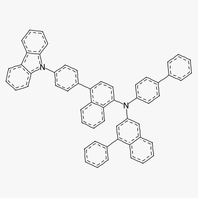 c1ccc(-c2ccc(N(c3cc(-c4ccccc4)c4ccccc4c3)c3ccc(-c4ccc(-n5c6ccccc6c6ccccc65)cc4)c4ccccc34)cc2)cc1